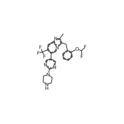 Cc1nc2cc(C(F)(F)F)c(-c3cnc(N4CCNCC4)nc3)cn2c1Cc1ccccc1OC(F)F